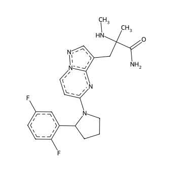 CNC(C)(Cc1cnn2ccc(N3CCCC3c3cc(F)ccc3F)nc12)C(N)=O